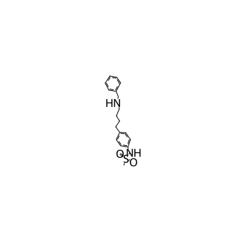 CS(=O)(=O)Nc1ccc(CCCCNCc2ccccc2)cc1